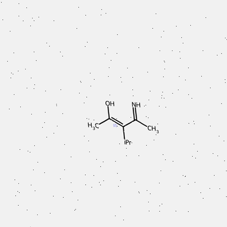 CC(=N)/C(=C(/C)O)C(C)C